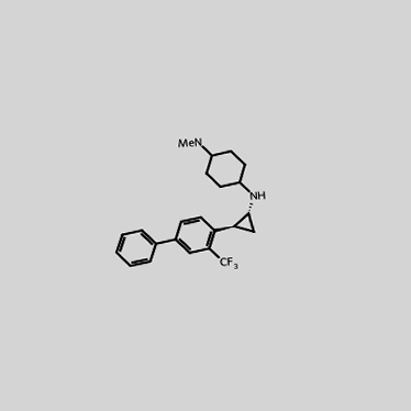 CNC1CCC(N[C@@H]2C[C@H]2c2ccc(-c3ccccc3)cc2C(F)(F)F)CC1